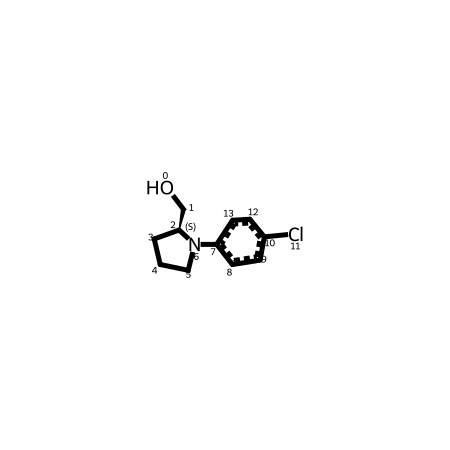 OC[C@@H]1CCCN1c1ccc(Cl)cc1